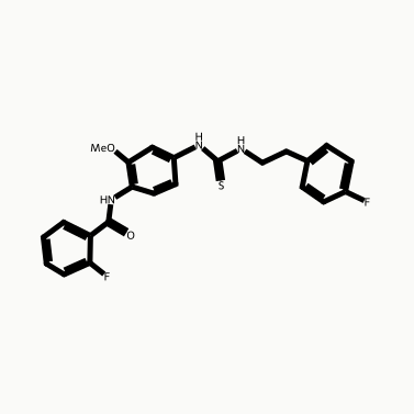 COc1cc(NC(=S)NCCc2ccc(F)cc2)ccc1NC(=O)c1ccccc1F